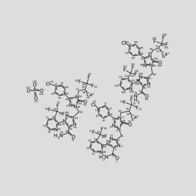 NC(=O)c1nc(Cn2nc(-c3ccc(Cl)cc3)n(C[C@H]([Ca+])C(F)(F)F)c2=O)nn1-c1ncccc1C(F)(F)F.NC(=O)c1nc(Cn2nc(-c3ccc(Cl)cc3)n(C[C@H]([Ca+])C(F)(F)F)c2=O)nn1-c1ncccc1C(F)(F)F.NC(=O)c1nc(Cn2nc(-c3ccc(Cl)cc3)n(C[C@H]([Ca+])C(F)(F)F)c2=O)nn1-c1ncccc1C(F)(F)F.O=P([O-])([O-])[O-]